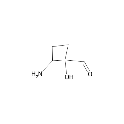 NC1CCC1(O)C=O